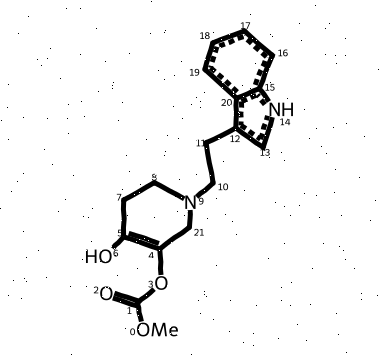 COC(=O)OC1=C(O)CCN(CCc2c[nH]c3ccccc23)C1